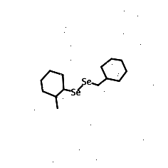 CC1CCCCC1[Se][Se]CC1CCCCC1